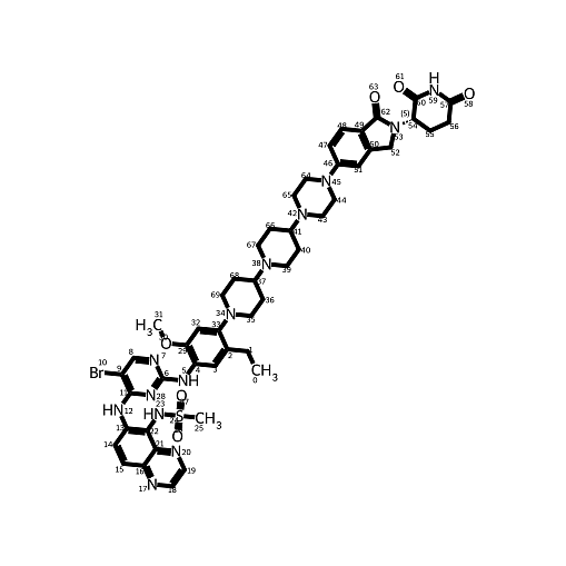 CCc1cc(Nc2ncc(Br)c(Nc3ccc4nccnc4c3NS(C)(=O)=O)n2)c(OC)cc1N1CCC(N2CCC(N3CCN(c4ccc5c(c4)CN([C@H]4CCC(=O)NC4=O)C5=O)CC3)CC2)CC1